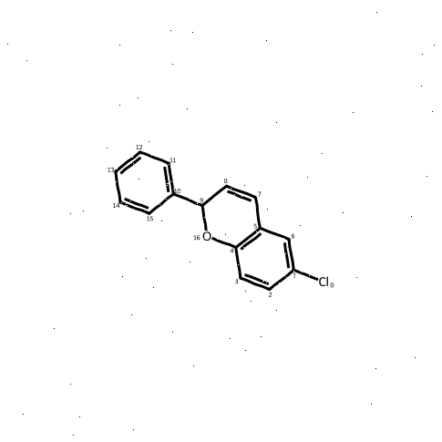 Clc1ccc2c(c1)C=CC(c1ccccc1)O2